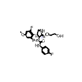 COc1cc(F)c([C@@H]2CN/C(=N\OCCO)C2NC(=O)Nc2ccc(F)cc2)c(F)c1